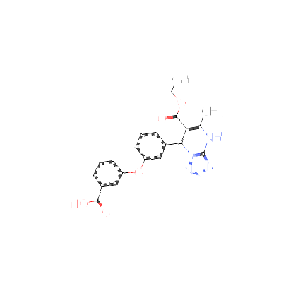 CCOC(=O)C1=C(C)Nc2nnnn2C1c1cccc(Oc2cccc(C(=O)O)c2)c1